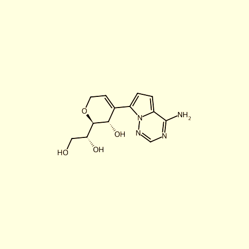 Nc1ncnn2c(C3=CCO[C@H]([C@H](O)CO)[C@H]3O)ccc12